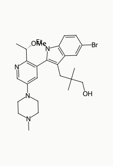 CCn1c(-c2cc(N3CCN(C)CC3)cnc2[C@H](C)OC)c(CC(C)(C)CO)c2cc(Br)ccc21